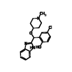 CN1CCC(OC(c2nc3ccccc3[nH]2)c2cc(Cl)ccc2O)CC1